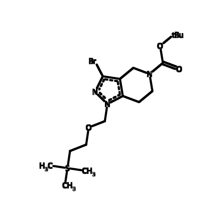 CC(C)(C)OC(=O)N1CCc2c(c(Br)nn2COCCS(C)(C)C)C1